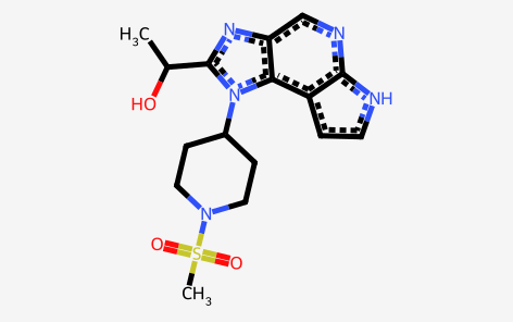 CC(O)c1nc2cnc3[nH]ccc3c2n1C1CCN(S(C)(=O)=O)CC1